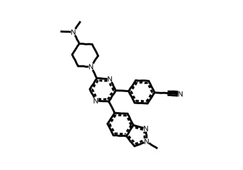 CN(C)C1CCN(c2cnc(-c3ccc4cn(C)nc4c3)c(-c3ccc(C#N)cc3)n2)CC1